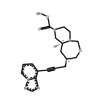 CC(C)(C)OC(=O)N1CCN2COC[C@@H](CC#Cc3cccn4ncnc34)C[C@H]2C1